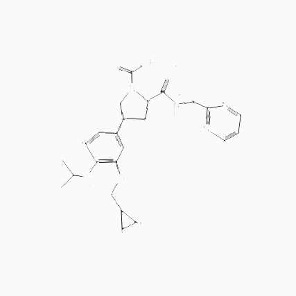 CC(=O)N1CC(c2ccc(OC(F)F)c(OCC3CC3)c2)CC1C(=O)NCc1ncccn1